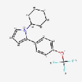 FC(F)(F)Oc1ccc(-c2cccn2C2CCCCC2)cc1